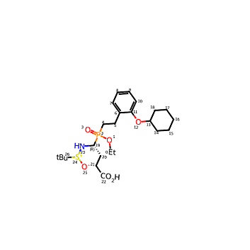 CCOP(=O)(CCc1ccccc1OC1CCCCC1)[C@H](CCC(=O)O)N[S+]([O-])C(C)(C)C